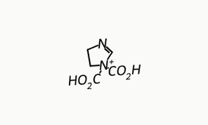 O=C(O)[N+]1(C(=O)O)C=NCC1